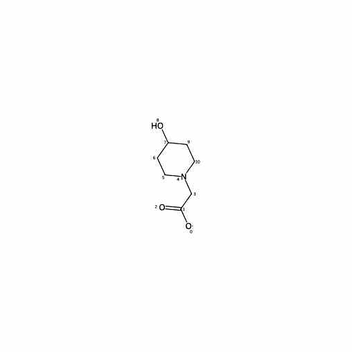 [O]C(=O)CN1CCC(O)CC1